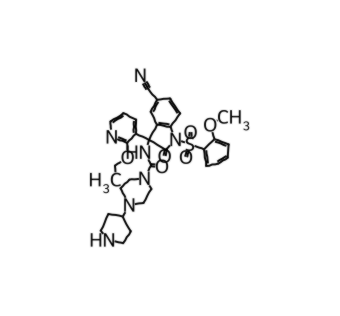 CCOc1ncccc1C1(NC(=O)N2CCN(C3CCNCC3)CC2)C(=O)N(S(=O)(=O)c2ccccc2OC)c2ccc(C#N)cc21